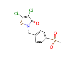 CS(=O)(=O)c1ccc(Cn2sc(Cl)c(Cl)c2=O)cc1